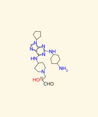 NC1CCC(Nc2nc(NC3CCN(C[C@H](O)C=O)CC3)c3ncn(C4CCCC4)c3n2)CC1